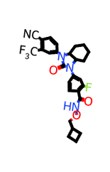 N#Cc1ccc(N2C(=O)N(c3ccc(C(=O)NOCC4CCC4)c(F)c3)C3CCCCC32)cc1C(F)(F)F